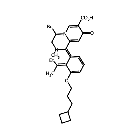 CC/C(C)=c1/c(OCCCC2CCC2)ccc/c1=C1\c2cc(=O)c(C(=O)O)cn2C(C(C)(C)C)CN1C